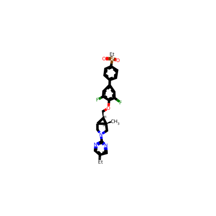 CCc1cnc(N2CC3[C@@H](COc4c(F)cc(-c5ccc(S(=O)(=O)CC)cc5)cc4F)[C@]3(C)C2)nc1